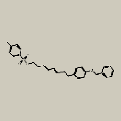 Cc1ccc(S(=O)(=O)OCCCCC=CCCc2ccc(OCc3ccccc3)cc2)cc1